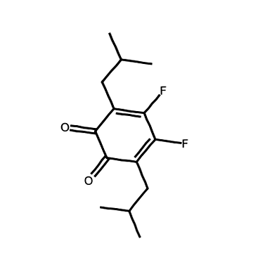 CC(C)CC1=C(F)C(F)=C(CC(C)C)C(=O)C1=O